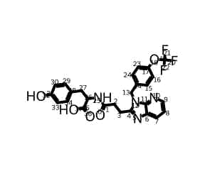 O=C(CCc1nc2cccnc2n1Cc1ccc(OC(F)(F)F)cc1)NC(Cc1ccc(O)cc1)C(=O)O